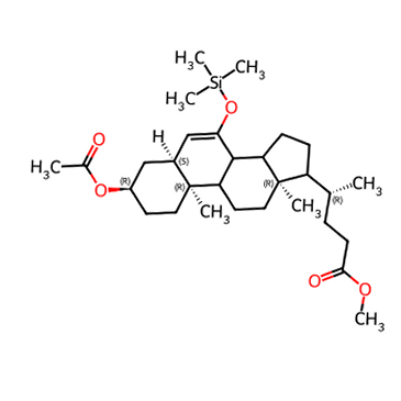 COC(=O)CC[C@@H](C)C1CCC2C3C(O[Si](C)(C)C)=C[C@@H]4C[C@H](OC(C)=O)CC[C@]4(C)C3CC[C@@]21C